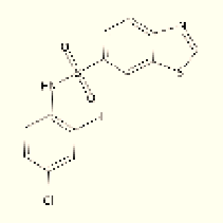 O=S(=O)(Nc1ccc(Cl)cc1I)c1ccc2ncsc2c1